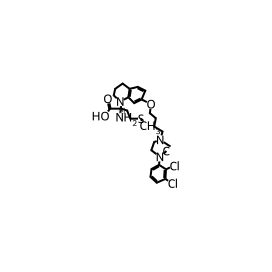 CSCC[C@](N)(C(=O)O)N1CCCc2ccc(OCCCCN3CCN(c4cccc(Cl)c4Cl)CC3)cc21